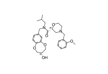 COc1ccccc1CN1CCO[C@@H](C(=O)N(Cc2ccc3c(c2)OC[C@H](O)CO3)CC(C)C)C1